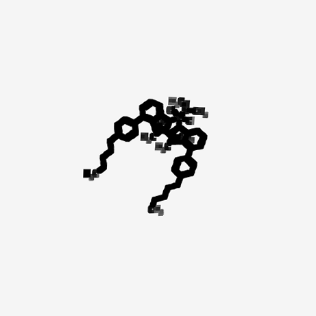 CCCCCc1ccc(-c2cccc3c2C=C(C(C)C)[CH]3[Zr]([Cl])([Cl])([CH]2C(C(C)C)=Cc3c(-c4ccc(CCCCC)cc4)cccc32)[SiH](C)C)cc1